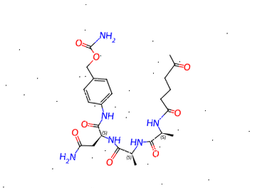 CC(=O)CCCC(=O)N[C@@H](C)C(=O)N[C@@H](C)C(=O)N[C@@H](CC(N)=O)C(=O)Nc1ccc(COC(N)=O)cc1